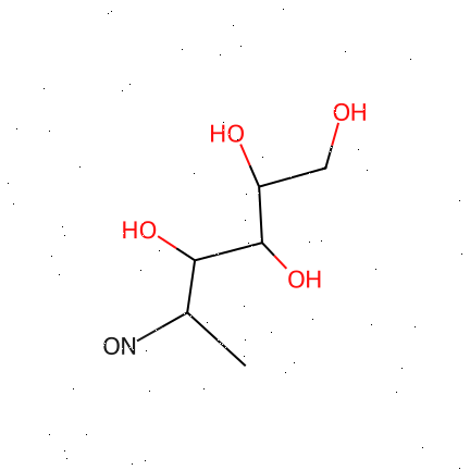 CC(N=O)C(O)C(O)C(O)CO